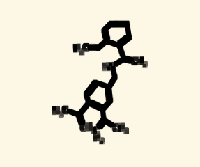 C=Cc1ccccc1C(=C)NCc1ccc(C(=C)C)c(C(=C)C)c1